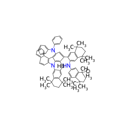 CC1(C)CCC(C)(C)c2cc(Nc3cc4c(cc3-c3cc(N(c5ccccc5)c5ccccc5)c5c6c7ccccc7ccc6n6c5c3Bc3cc5c(cc3-6)C(C)(C)CCC5(C)C)C(C)(C)CCC4(C)C)ccc21